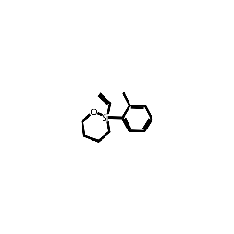 C=C[Si]1(c2ccccc2C)CCCCO1